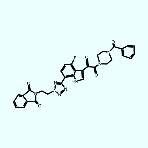 O=C(C(=O)N1CCN(C(=O)c2ccccc2)CC1)c1c[nH]c2c(-c3nnn(CCN4C(=O)c5ccccc5C4=O)n3)ccc(F)c12